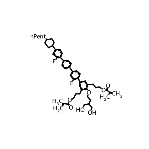 C=C(C)C(=O)OCCCc1cc(-c2ccc(-c3ccc(-c4ccc(C5CCC(CCCCC)CC5)cc4F)cc3)cc2F)cc(CCCOC(=O)C(=C)C)c1OCCC(CO)CO